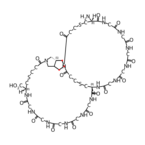 N[C@H]1CSCCC(=O)N2CC34CN5C[C@]3(CN(C4)C(=O)CCSC[C@H](NC(=O)CNC(=O)CNC(=O)CNC(=O)CNC(=O)CNC1=O)C(=O)NCC(=O)NCC(=O)NCC(=O)NCC(=O)NCC(=O)N[C@H](C(=O)O)CSCCC5=O)C2